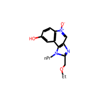 CCCn1c(COCC)nc2c[n+]([O-])c3ccc(O)cc3c21